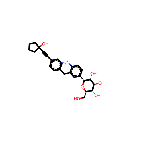 Nc1ccc([C@@H]2O[C@H](CO)[C@@H](O)[C@H](O)[C@H]2O)cc1Cc1ccc(C#CC2(O)CCCC2)cc1